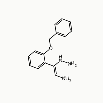 N/C=C(\NN)c1ccccc1OCc1ccccc1